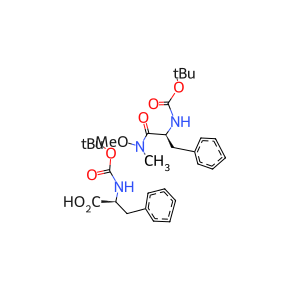 CC(C)(C)OC(=O)N[C@@H](Cc1ccccc1)C(=O)O.CON(C)C(=O)[C@H](Cc1ccccc1)NC(=O)OC(C)(C)C